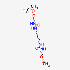 COCOCCNC(=O)NCCCCCCNC(=O)NCCOCOC(C)C